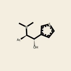 CC(=O)[C@H]([C@@H](O)c1ccsc1)N(C)C